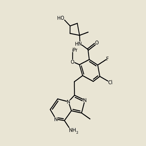 Cc1nc(Cc2cc(Cl)c(F)c(C(=O)NC3(C)CC(O)C3)c2OC(C)C)n2ccnc(N)c12